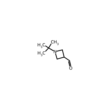 CC(C)(C)N1CC(C=O)C1